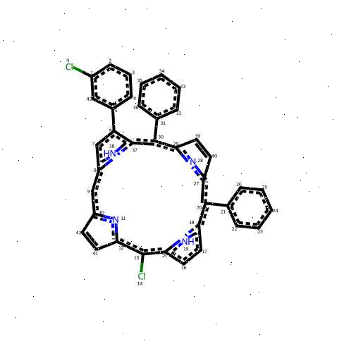 Clc1cccc(-c2cc3cc4nc(c(Cl)c5ccc([nH]5)c(-c5ccccc5)c5nc(c(-c6ccccc6)c2[nH]3)C=C5)C=C4)c1